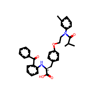 Cc1cccc(N(CCOc2ccc(C[C@H](Nc3ccccc3C(=O)c3ccccc3)C(=O)O)cc2)C(=O)C(C)C)c1